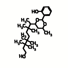 CC1CC(C(C)C(C)(C)CCC(C)(C)C(C)(C)CCO)OC(c2ccccc2O)O1